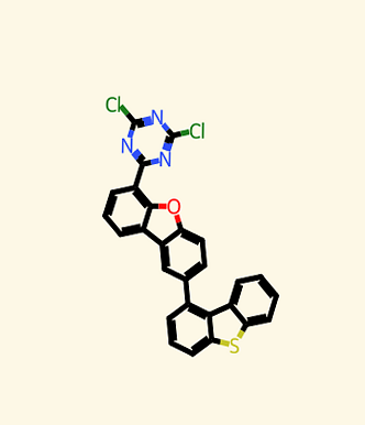 Clc1nc(Cl)nc(-c2cccc3c2oc2ccc(-c4cccc5sc6ccccc6c45)cc23)n1